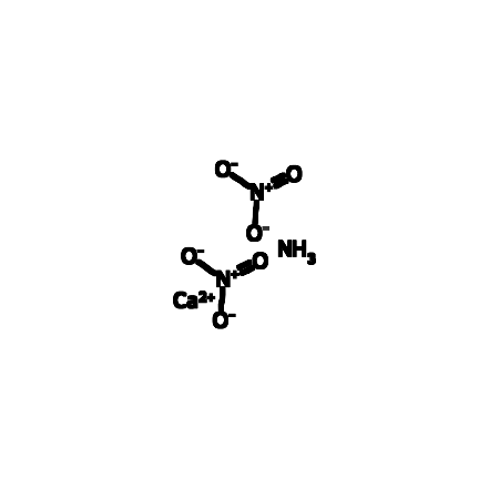 N.O=[N+]([O-])[O-].O=[N+]([O-])[O-].[Ca+2]